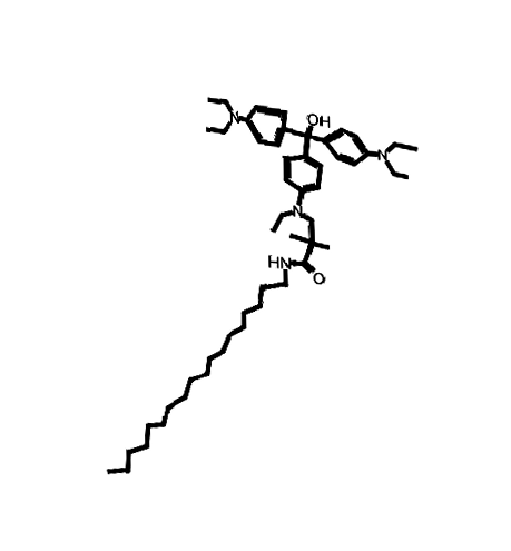 CCCCCCCCCCCCCCCCCCNC(=O)C(C)(C)CN(CC)c1ccc(C(O)(c2ccc(N(CC)CC)cc2)c2ccc(N(CC)CC)cc2)cc1